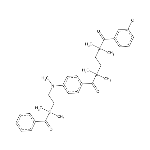 CN(CC[Si](C)(C)C(=O)c1ccccc1)c1ccc(C(=O)[Si](C)(C)CC[Si](C)(C)C(=O)c2cccc(Cl)c2)cc1